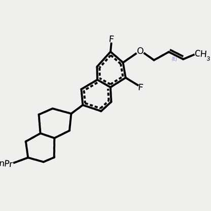 C/C=C/COc1c(F)cc2cc(C3CCC4CC(CCC)CCC4C3)ccc2c1F